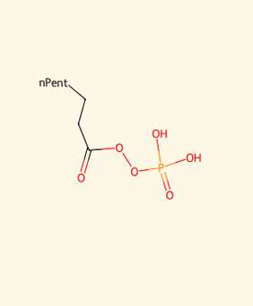 CCCCCCCC(=O)OOP(=O)(O)O